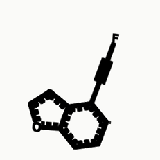 FC#Cc1[c]ccc2occc12